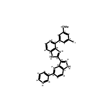 COc1cc(F)cc(-c2nccc3[nH]c(-c4n[nH]c5ccc(-c6cccnc6)nc45)nc23)c1